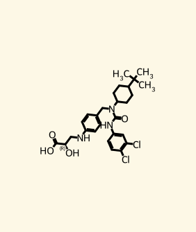 CC(C)(C)C1CCC(N(Cc2ccc(NC[C@@H](O)C(=O)O)cc2)C(=O)Nc2ccc(Cl)c(Cl)c2)CC1